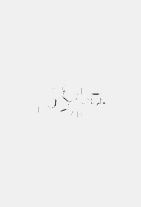 Cc1cc(C)c(C(Cl)Cn2ccnc2)c(C)c1